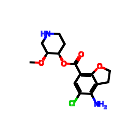 CO[C@H]1CNCC[C@H]1OC(=O)c1cc(Cl)c(N)c2c1OCC2